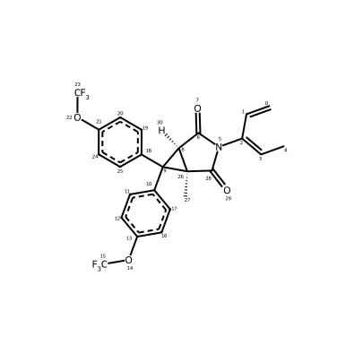 C=C/C(=C\C)N1C(=O)[C@@H]2C(c3ccc(OC(F)(F)F)cc3)(c3ccc(OC(F)(F)F)cc3)[C@]2(C)C1=O